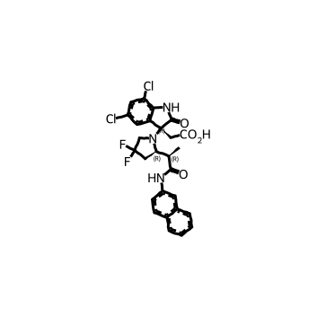 C[C@@H](C(=O)Nc1ccc2ccccc2c1)[C@H]1CC(F)(F)CN1[C@@]1(CC(=O)O)C(=O)Nc2c(Cl)cc(Cl)cc21